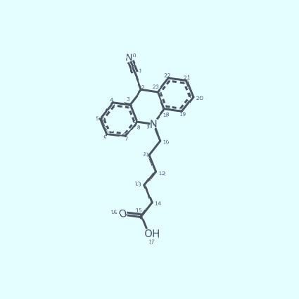 N#CC1c2ccccc2N(CCCCCC(=O)O)c2ccccc21